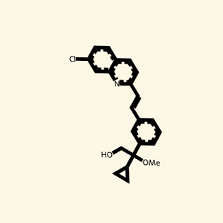 COC(CO)(c1cccc(C=Cc2ccc3ccc(Cl)cc3n2)c1)C1CC1